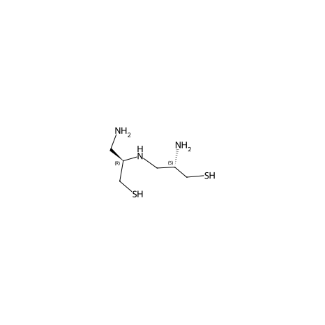 NC[C@H](CS)NC[C@H](N)CS